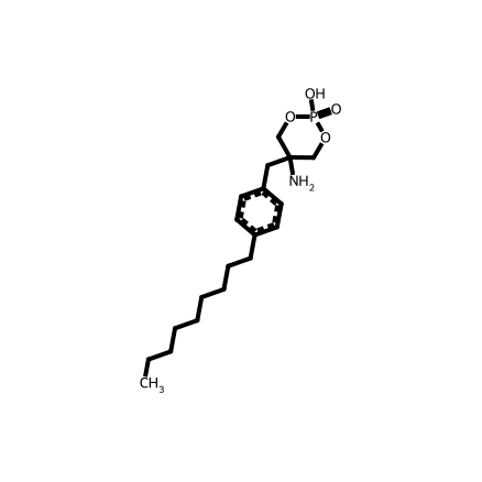 CCCCCCCCCc1ccc(CC2(N)COP(=O)(O)OC2)cc1